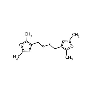 Cc1cc(CSSCc2cc(C)oc2C)c(C)o1